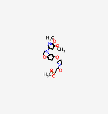 COc1cc(N2CCOc3ccc(O[C@H]4CCN(C(=O)CCS(C)(=O)=O)C4)cc32)cnc1OC